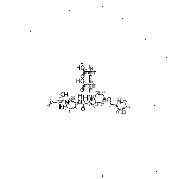 Cc1c(C2CC2)nc2ccc(NC(=O)c3cc4cc(OCc5ccccn5)ccc4[nH]3)cn12.O=C(O)C(F)(F)F.O=C(O)C(F)(F)F